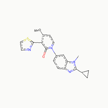 COc1ccn(-c2ccc3nc(C4CC4)n(C)c3c2)c(=O)c1-c1nccs1